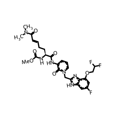 COC(=O)N[C@@H](CC/C=C/C(=O)N(C)C)C(=O)Nc1cccn(Cc2nc3c(OCC(F)F)cc(F)cc3[nH]2)c1=O